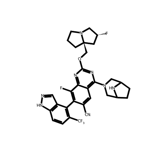 N#Cc1cc2c(N3CC4CCC(C3)N4)nc(OC[C@@]34CCCN3C[C@H](F)C4)nc2c(F)c1-c1c(C(F)(F)F)ccc2[nH]ncc12